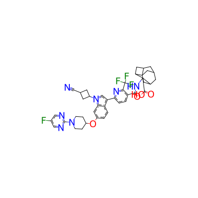 N#CC1CC(n2cc(-c3ccc(C(=O)NC4(C(=O)O)C5CC6CC7CC4C7(C6)C5)c(C(F)(F)F)n3)c3ccc(OC4CCN(c5ncc(F)cn5)CC4)cc32)C1